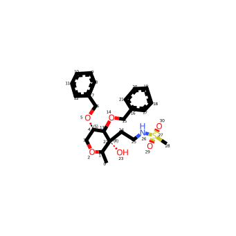 CC1OC[C@H](OCc2ccccc2)C(OCc2ccccc2)[C@@]1(O)CCNS(C)(=O)=O